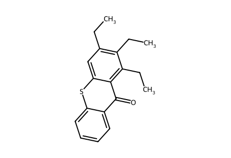 CCc1cc2sc3ccccc3c(=O)c2c(CC)c1CC